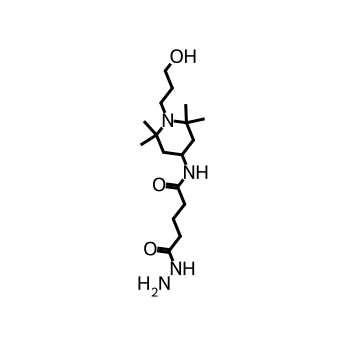 CC1(C)CC(NC(=O)CCCC(=O)NN)CC(C)(C)N1CCCO